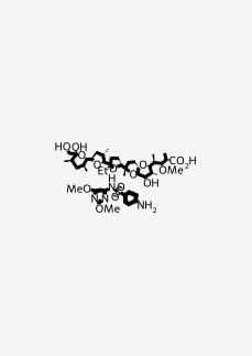 CC[C@@]1([C@@H]2O[C@@H]([C@H]3O[C@@](O)(CO)[C@H](C)C[C@@H]3C)C[C@@H]2C)CC[C@H]([C@]2(C)CC[C@]3(C[C@H](O)[C@@H](C)[C@@H]([C@@H](C)[C@@H](OC)[C@H](C)C(=O)O)O3)O2)O1.COc1cc(NS(=O)(=O)c2ccc(N)cc2)nc(OC)n1